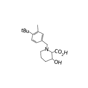 Cc1cc(CN2CCCC(O)C2C(=O)O)ccc1C(C)(C)C